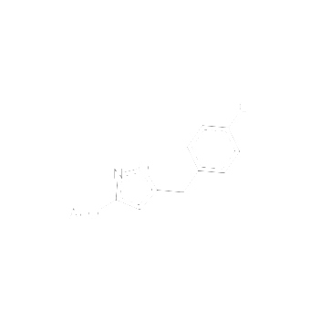 CC(=O)Oc1cc(Cc2ccc(Cl)cc2)on1